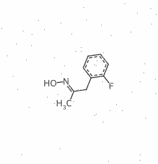 CC(Cc1ccccc1F)=NO